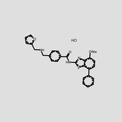 COc1ccc(-c2ccccc2)c2sc(NC(=O)c3ccc(CNCc4ccco4)cc3)nc12.Cl